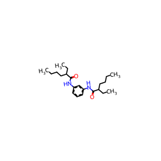 CCCCC(CC)C(=O)Nc1cccc(NC(=O)C(CC)CCCC)c1